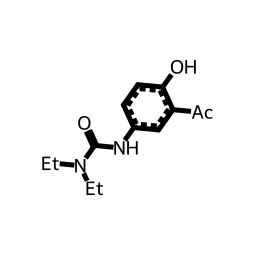 CCN(CC)C(=O)Nc1ccc(O)c(C(C)=O)c1